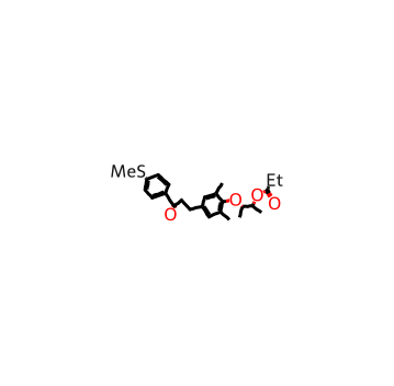 CCC(=O)OC(C)C(C)Oc1c(C)cc(CCC(=O)c2ccc(SC)cc2)cc1C